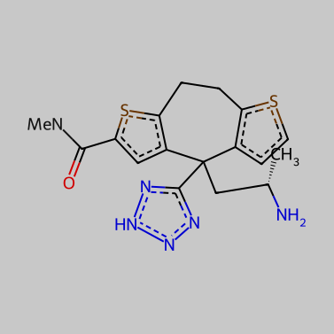 CNC(=O)c1cc2c(s1)CCc1sccc1C2(C[C@H](C)N)c1nn[nH]n1